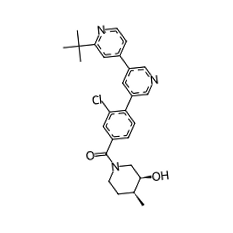 C[C@H]1CCN(C(=O)c2ccc(-c3cncc(-c4ccnc(C(C)(C)C)c4)c3)c(Cl)c2)C[C@H]1O